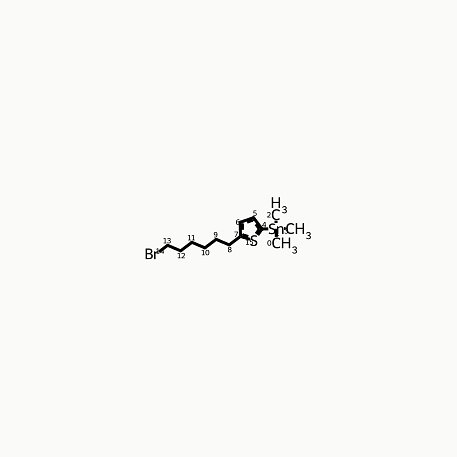 [CH3][Sn]([CH3])([CH3])[c]1ccc(CCCCCCBr)s1